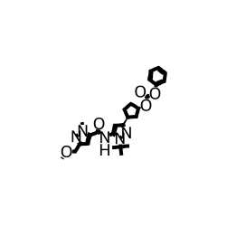 COCc1cc(C(=O)Nc2cc([C@H]3CC[C@@H](OC(=O)Oc4ccccc4)C3)nn2C(C)(C)C)n(C)n1